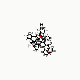 O=C(C1=CC(CC2CCCO2)(C(=O)C2(CC3CCCO3)C=C(C(=O)c3ccccc3)C(c3ccccc3)=CC2C2CCCNC2)C(C2CCCNC2)C=C1c1ccccc1)c1ccccc1